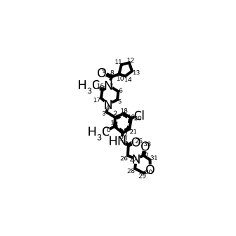 Cc1c(CN2CCN(C(=O)C3CCCC3)C(C)C2)cc(Cl)cc1NC(=O)CN1CCOCC1=O